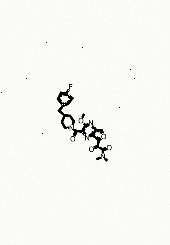 COc1nc2coc(C(=O)C(=O)N(C)C)c2nc1C(=O)N1CCC(Cc2ccc(F)cc2)CC1